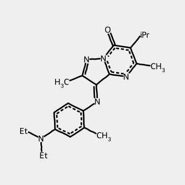 CCN(CC)c1ccc(N=C2C(C)=Nn3c2nc(C)c(C(C)C)c3=O)c(C)c1